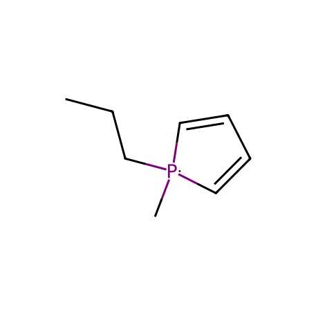 CCC[P]1(C)C=CC=C1